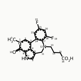 Cn1cc2c3c(c[nH]c3c1=O)CN(CCCC(=O)O)c1c(F)cc(F)cc1-2